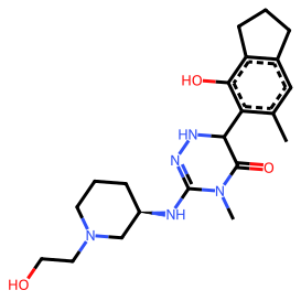 Cc1cc2c(c(O)c1C1NN=C(N[C@@H]3CCCN(CCO)C3)N(C)C1=O)CCC2